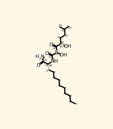 CCCCCCCCCC[C@@H](NC(=O)N(O)C(=O)[C@@H](O)CCC(C)C)C(N)=O